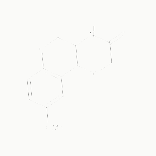 COc1ccc2c(c1)C1OCC(=O)NC1CO2